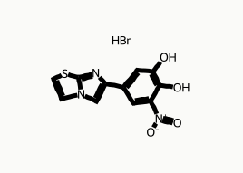 Br.O=[N+]([O-])c1cc(-c2cn3ccsc3n2)cc(O)c1O